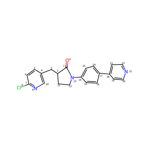 O=C1C(Cc2ccc(Cl)nc2)CCN1c1ccc(-c2ccncc2)cc1